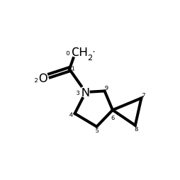 [CH2]C(=O)N1CCC2(CC2)C1